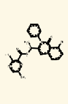 Cc1cnc(C)c(C(=O)N[C@@H](C)c2cc3cccc(Cl)c3c(=O)n2-c2ccccc2)n1